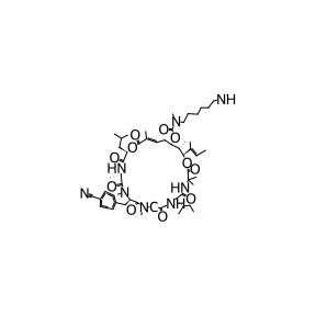 C/C=C(\C)[C@H]1OC(=O)C(C)(C)NC(=O)[C@H](C(C)CC)NC(=O)CN(C)C(=O)[C@@H](Cc2ccc(C#N)cc2)N(C)C(=O)[C@H](C)NC(=O)[C@@H](CC(C)C)OC(=O)/C(C)=C/C[C@H](OC(=O)N(C)CCCCCCNC)[C@@H]1C